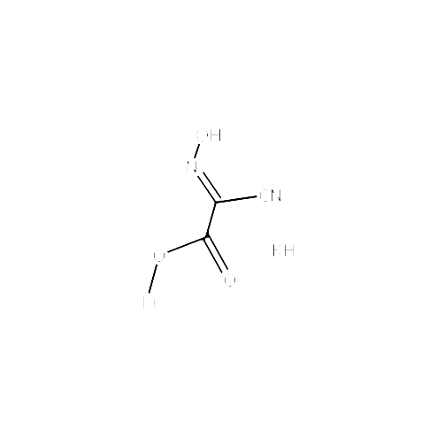 CCOC(=O)C(C#N)=NO.[KH]